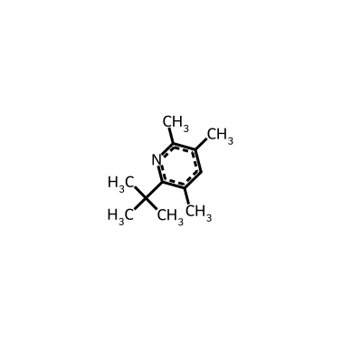 Cc1cc(C)c(C(C)(C)C)nc1C